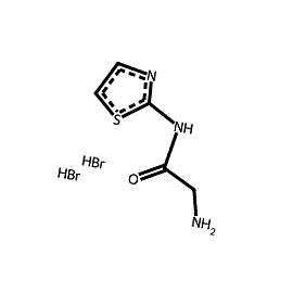 Br.Br.NCC(=O)Nc1nccs1